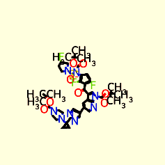 CC(C)(C)OC(=O)N1CCN(C2(c3ncc(-c4cnc5c(c4)c(C(=O)c4c(F)ccc(N(C(=O)OC(C)(C)C)[S+]([O-])N6CCC(F)C6)c4F)cn5C(=O)OC(C)(C)C)cn3)CC2)CC1